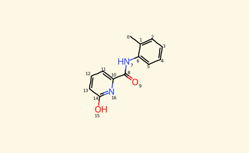 Cc1ccccc1NC(=O)c1cccc(O)n1